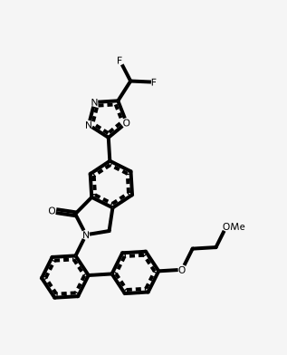 COCCOc1ccc(-c2ccccc2N2Cc3ccc(-c4nnc(C(F)F)o4)cc3C2=O)cc1